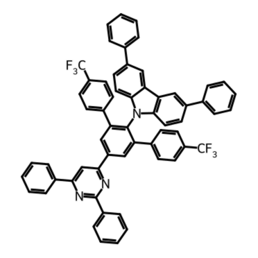 FC(F)(F)c1ccc(-c2cc(-c3cc(-c4ccccc4)nc(-c4ccccc4)n3)cc(-c3ccc(C(F)(F)F)cc3)c2-n2c3ccc(-c4ccccc4)cc3c3cc(-c4ccccc4)ccc32)cc1